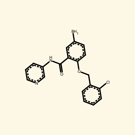 Bc1ccc(OCc2ccccc2Cl)c(C(=O)Nc2cccnc2)c1